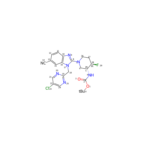 CC(C)(C)OC(=O)N[C@@H]1CN(c2nc3ccc(C#N)cc3n2Cc2ncc(Cl)cn2)CC[C@H]1F